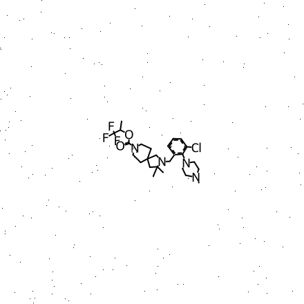 CC(OC(=O)N1CCC2(CC1)CN(Cc1cccc(Cl)c1N1CCN(C)CC1)C(C)(C)C2)C(F)(F)F